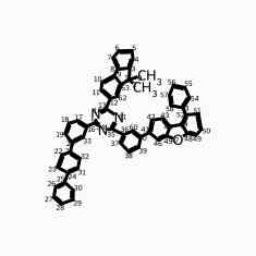 CC1(C)c2ccccc2-c2ccc(-c3nc(-c4cccc(-c5ccc(-c6ccccc6)cc5)c4)nc(-c4cccc(-c5ccc6c(c5)oc5cccc(-c7ccccc7)c56)c4)n3)cc21